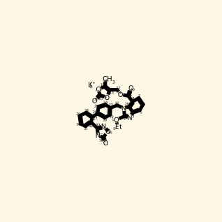 CCOc1nc2cccc(C(=O)OCc3oc(=O)oc3C)c2n1Cc1ccc(-c2ccccc2-c2noc(=O)[n-]2)cc1.[K+]